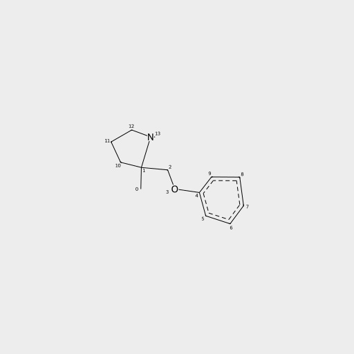 CC1(COc2ccccc2)CCC[N]1